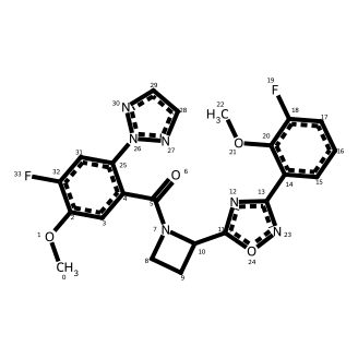 COc1cc(C(=O)N2CCC2c2nc(-c3cccc(F)c3OC)no2)c(-n2nccn2)cc1F